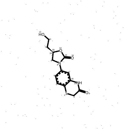 O=C1CSc2ccc(N3C[C@@H](CCO)OC3=O)cc2N1